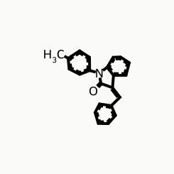 Cc1ccc(N2C(=O)C(=Cc3ccccc3)c3ccccc32)cc1